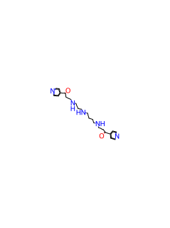 O=C(CCNCCCCNCCCNCCC(=O)c1ccncc1)c1ccncc1